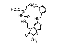 CSCC[C@H](NC(=O)NCCn1c(=O)c(C)nc2ccc(NCc3cccc(C(F)(F)F)c3)cc21)C(=O)O